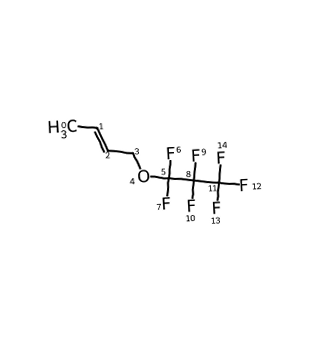 CC=CCOC(F)(F)C(F)(F)C(F)(F)F